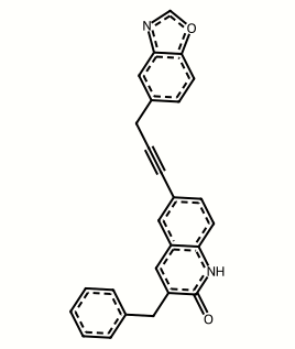 O=c1[nH]c2ccc(C#CCc3ccc4ocnc4c3)cc2cc1Cc1ccccc1